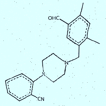 Cc1cc(C)c(CN2CCN(c3ccccc3C#N)CC2)cc1C=O